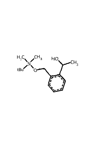 CC(O)c1ccccc1CO[Si](C)(C)C(C)(C)C